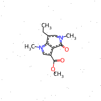 CCc1cn(C)c(=O)c2c(C(=O)OC)cn(C)c12